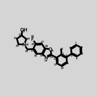 Cc1c(-c2ccccc2)cccc1-c1nc2cc(CN3CCC(O)C3)c(F)cc2o1